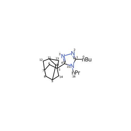 CCCCc1nnc(C23CC4CC(CC(C4)C2)C3)n1CCC